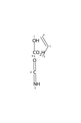 C=CC.N=C=O.O=C(O)O